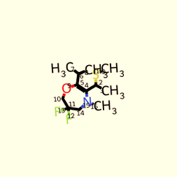 CSC(C)C1=C(C(C)C)OCC(F)(F)CN1C